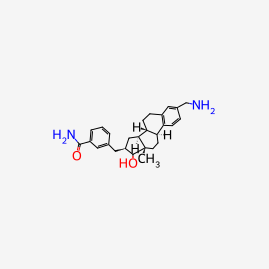 C[C@]12CC[C@@H]3c4ccc(CN)cc4CC[C@H]3[C@@H]1C[C@H](Cc1cccc(C(N)=O)c1)[C@@H]2O